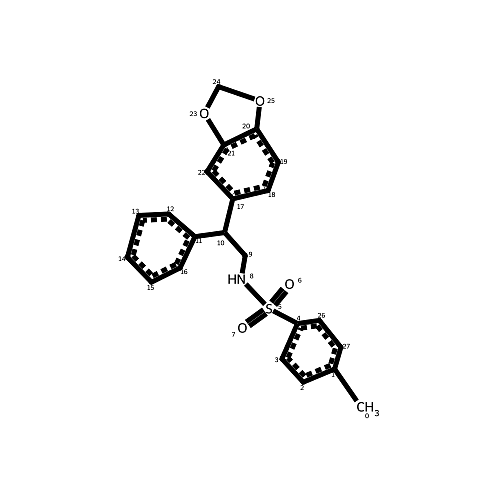 Cc1ccc(S(=O)(=O)NCC(c2ccccc2)c2ccc3c(c2)OCO3)cc1